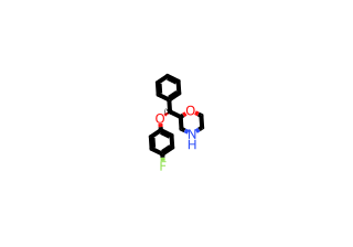 Fc1ccc(O[C@@H](c2ccccc2)C2CNCCO2)cc1